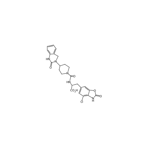 O=C(O)C(Cc1cc(Cl)c2[nH]c(=O)oc2c1)NC(=O)N1CCC(N2Cc3ccccc3NC2=O)CC1